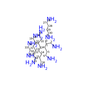 CC(CN)CCCN.NCCCCCCCCN.NCCCCCCN.NCCCCN.NCCN